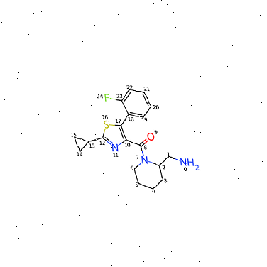 NCC1CCCCN1C(=O)c1nc(C2CC2)sc1-c1ccccc1F